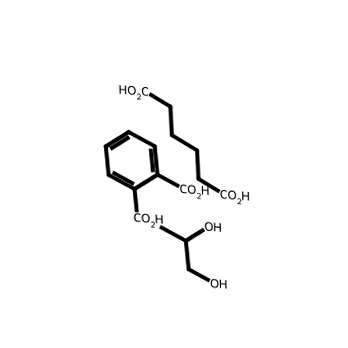 CC(O)CO.O=C(O)CCCCC(=O)O.O=C(O)c1ccccc1C(=O)O